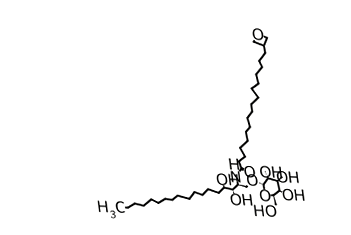 CCCCCCCCCCCCCC[C@@H](O)[C@@H](O)[C@H](CO[C@H]1O[C@H](CO)[C@H](O)[C@H](O)[C@H]1O)NC(=O)CCCCCCCCCCCCCCCCC1COC1